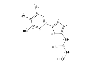 CC(C)(C)c1cc(-c2nnc(NC(=S)NC(=O)O)s2)cc(C(C)(C)C)c1O